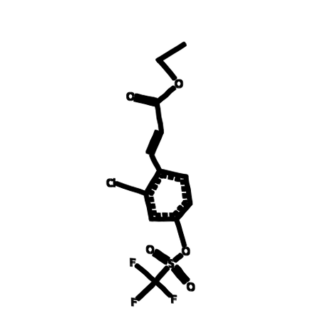 CCOC(=O)/C=C/c1ccc(OS(=O)(=O)C(F)(F)F)cc1Cl